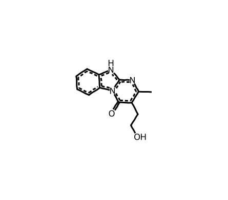 Cc1nc2[nH]c3ccccc3n2c(=O)c1CCO